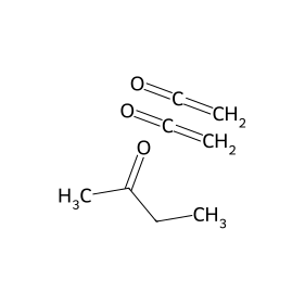 C=C=O.C=C=O.CCC(C)=O